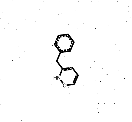 C1=CONC(Cc2ccccc2)=C1